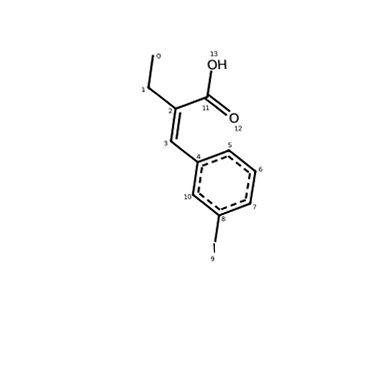 CCC(=Cc1cccc(I)c1)C(=O)O